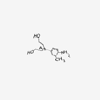 Cc1cc([As](CCO)CCO)ccc1N